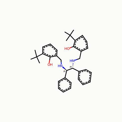 CC(C)(C)c1cccc(CN[C@H](c2ccccc2)[C@H](NCc2cccc(C(C)(C)C)c2O)c2ccccc2)c1O